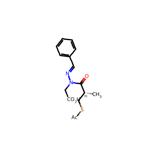 CC(=O)SC[C@@H](C)C(=O)N(CC(=O)O)N=Cc1ccccc1